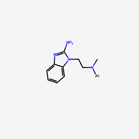 CC(=O)N(C)CCn1c(N)nc2ccccc21